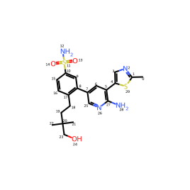 Cc1ncc(-c2cc(-c3cc(S(N)(=O)=O)ccc3CCC(C)(C)CO)cnc2N)s1